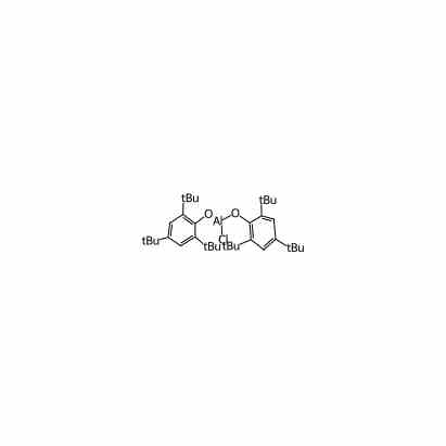 CC(C)(C)c1cc(C(C)(C)C)c([O][Al]([Cl])[O]c2c(C(C)(C)C)cc(C(C)(C)C)cc2C(C)(C)C)c(C(C)(C)C)c1